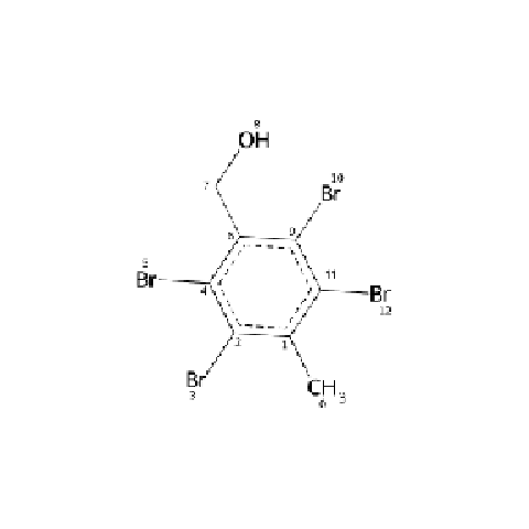 Cc1c(Br)c(Br)c(CO)c(Br)c1Br